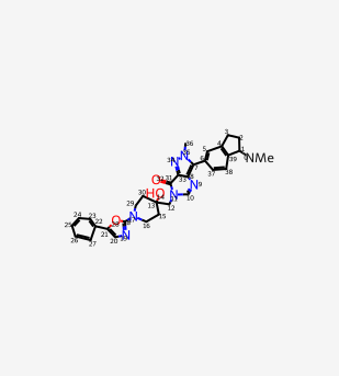 CNC1CCc2cc(-c3c4ncn(CC5(O)CCN(c6ncc(-c7ccccc7)o6)CC5)c(=O)c4nn3C)ccc21